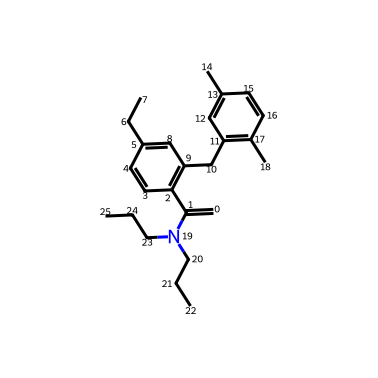 C=C(c1ccc(CC)cc1Cc1cc(C)ccc1C)N(CCC)CCC